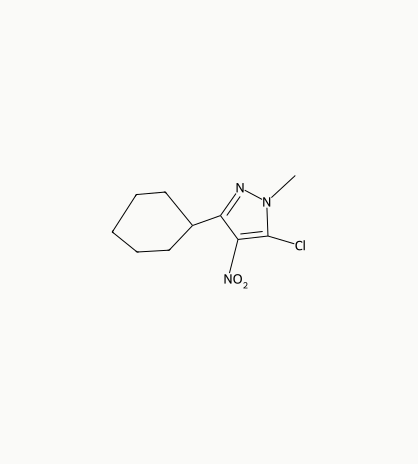 Cn1nc(C2CCCCC2)c([N+](=O)[O-])c1Cl